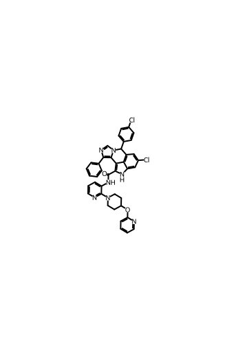 O=C(Nc1cccnc1N1CCC(Oc2ccccn2)CC1)c1[nH]c2cc(Cl)cc3c2c1-c1c(-c2ccccc2)ncn1C3c1ccc(Cl)cc1